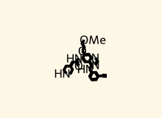 C#Cc1cccc(Nc2ncnc3cc(OCCOC)c(NC(=O)C=C4CCNCC4)cc23)c1